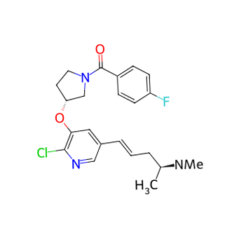 CN[C@@H](C)C/C=C/c1cnc(Cl)c(O[C@@H]2CCN(C(=O)c3ccc(F)cc3)C2)c1